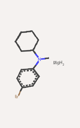 CN(c1ccc(Br)cc1)C1CCCCC1.[MgH2]